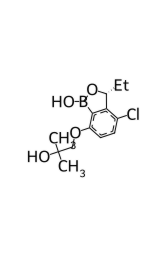 CC[C@H]1OB(O)c2c(OCC(C)(C)O)ccc(Cl)c21